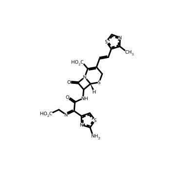 Cc1ncsc1/C=C/C1=C(C(=O)O)N2C(=O)C(NC(=O)/C(=N\CC(=O)O)c3csc(N)n3)[C@H]2SC1